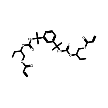 C=CC(=O)OCC(CC)OC(=O)NC(C)(C)c1cccc(C(C)(C)NC(=O)OC(CC)COC(=O)C=C)c1